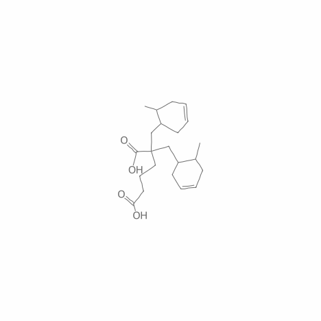 CC1CC=CCC1CC(CCCC(=O)O)(CC1CC=CCC1C)C(=O)O